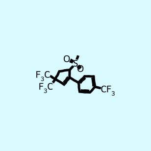 CS(=O)(=O)C1CC(C(F)(F)F)(C(F)(F)F)C=C1c1ccc(C(F)(F)F)cc1